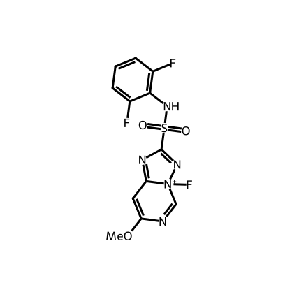 COC1=CC2=NC(S(=O)(=O)Nc3c(F)cccc3F)=N[N+]2(F)C=N1